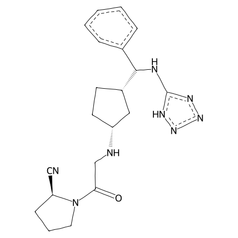 N#C[C@@H]1CCCN1C(=O)CN[C@@H]1CC[C@H](C(Nc2nnn[nH]2)c2ccccc2)C1